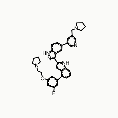 Fc1cc(OCCN2CCCC2)cc(-c2cccc3[nH]c(-c4n[nH]c5ccc(-c6cncc(CN7CCCC7)c6)cc45)cc23)c1